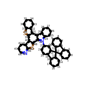 c1ccc2c(c1)-c1ccccc1C21c2ccccc2-c2ccc(-n3c4ccccc4c4c5c6ccccc6sc5c5c6cccnc6sc5c43)cc21